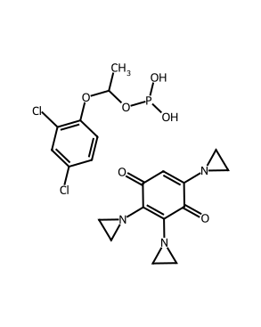 CC(Oc1ccc(Cl)cc1Cl)OP(O)O.O=C1C=C(N2CC2)C(=O)C(N2CC2)=C1N1CC1